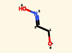 [O]C/C=N/O